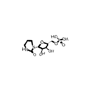 O=C1NCCCN1[C@@H]1O[C@H](COP(=O)(O)O)[C@@H](O)[C@H]1O